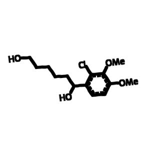 COc1ccc(C(O)CCCCCO)c(Cl)c1OC